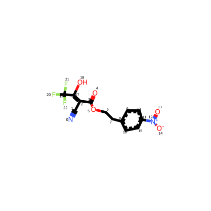 N#C/C(C(=O)OCCc1ccc([N+](=O)[O-])cc1)=C(/O)C(F)(F)F